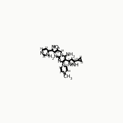 CN1C=CN(C2=C(c3cc(C4CC4)[nH]n3)C(N)N(Cc3cc(-c4ccncn4)no3)C(N)=N2)C=C1